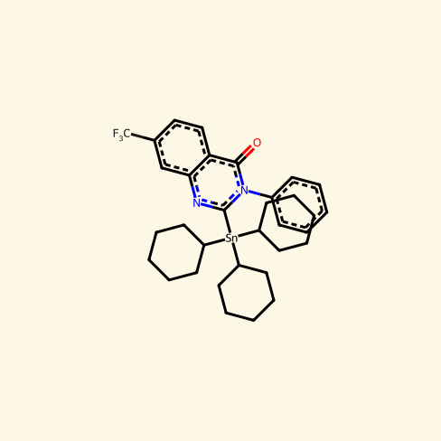 O=c1c2ccc(C(F)(F)F)cc2n[c]([Sn]([CH]2CCCCC2)([CH]2CCCCC2)[CH]2CCCCC2)n1-c1ccccc1